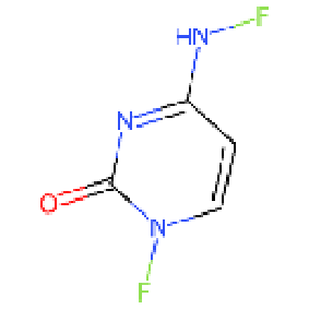 O=c1nc(NF)ccn1F